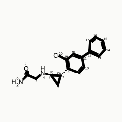 NC(=O)CN[C@@H]1C[C@H]1c1ccc(-c2ccccc2)cc1Cl